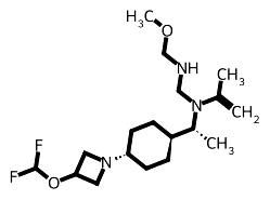 C=C(C)N(CNCOC)[C@H](C)[C@H]1CC[C@H](N2CC(OC(F)F)C2)CC1